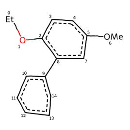 CCOc1ccc(OC)cc1-c1ccccc1